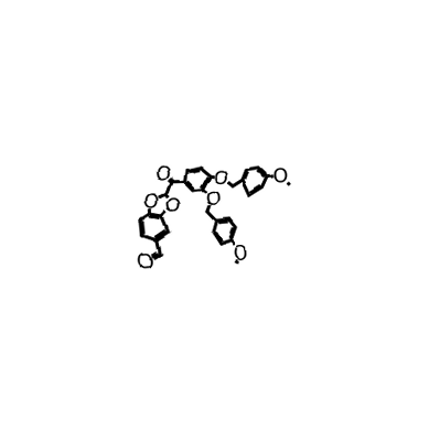 COc1ccc(COc2ccc(C(=O)C3Oc4ccc(C=O)cc4O3)cc2OCc2ccc(OC)cc2)cc1